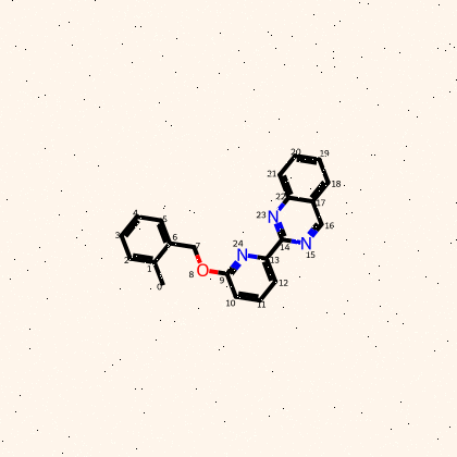 Cc1ccccc1COc1cccc(-c2ncc3ccccc3n2)n1